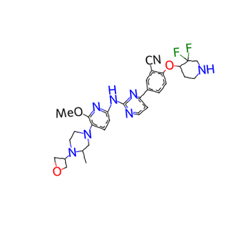 COc1nc(Nc2nccc(-c3ccc(OC4CCNCC4(F)F)c(C#N)c3)n2)ccc1N1CCN(C2COC2)C(C)C1